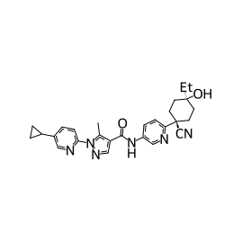 CC[C@]1(O)CC[C@](C#N)(c2ccc(NC(=O)c3cnn(-c4ccc(C5CC5)cn4)c3C)cn2)CC1